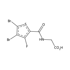 O=C(O)CNC(=O)c1sc(Br)c(Br)c1F